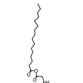 CCCCCCCCCCCCCCCC(=O)OC(=O)CN